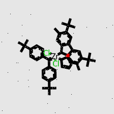 Cc1cc2c(cc1C(C)(C)C)-c1cc(C(C)(C)C)c(C)cc1[CH]2[Zr]([Cl])([Cl])(=[C](c1ccc(C(C)(C)C)cc1)c1ccc(C(C)(C)C)cc1)[CH]1C=CC=C1